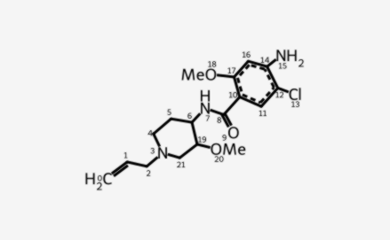 C=CCN1CCC(NC(=O)c2cc(Cl)c(N)cc2OC)C(OC)C1